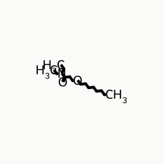 CCCCCCCCOCCC(=O)N(CC)CC